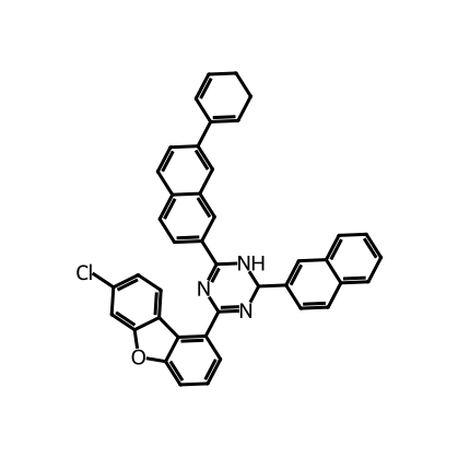 Clc1ccc2c(c1)oc1cccc(C3=NC(c4ccc5ccccc5c4)NC(c4ccc5ccc(C6=CCCC=C6)cc5c4)=N3)c12